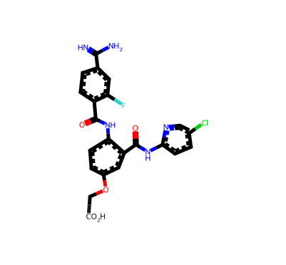 N=C(N)c1ccc(C(=O)Nc2ccc(OCC(=O)O)cc2C(=O)Nc2ccc(Cl)cn2)c(F)c1